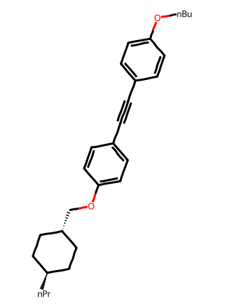 CCCCOc1ccc(C#Cc2ccc(OC[C@H]3CC[C@H](CCC)CC3)cc2)cc1